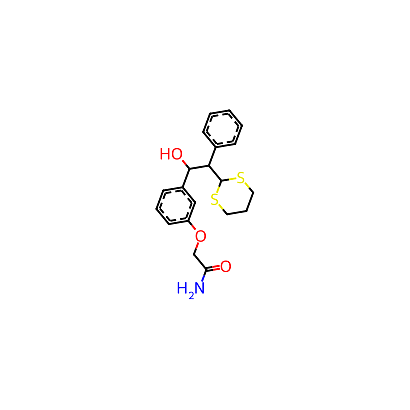 NC(=O)COc1cccc(C(O)C(c2ccccc2)C2SCCCS2)c1